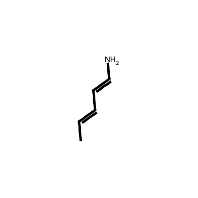 C/C=C/C=C/N